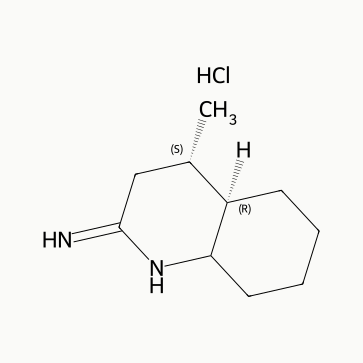 C[C@H]1CC(=N)NC2CCCC[C@@H]21.Cl